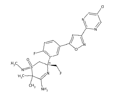 CN=S1(=O)C[C@](CF)(c2cc(-c3cc(-c4ncc(Cl)cn4)no3)ccc2F)N=C(N)C1(C)C